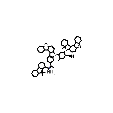 C/C(=C(\N)C1CCCC2C3CCCCC3C(C)(C)C12)C1C=CC2=C(C1)N(C1CC(N3C4CCC5OC6CCCCC6C5C4C4CCCCC43C)C(C#N)CC1C)C1C=CC3OC4CCCCC4C3C21